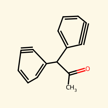 CC(=O)C(c1c#cccc1)c1c#cccc1